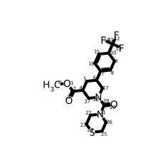 COC(=O)C1CC(C2=CCC(C(F)(F)F)C=C2)CN(C(=O)N2CCSCC2)C1